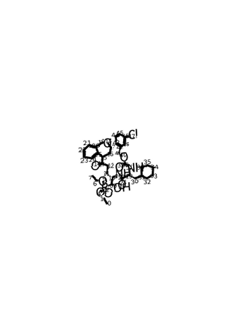 CCOP(=O)(OCC)C(O)[C@H](CCC(=O)C1CCOCc2ccccc21)NC(=O)[C@H](CC1CCCCC1)NC(=O)OCc1cccc(Cl)c1